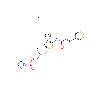 N#Cc1c(NC(=O)C=Cc2ccsc2)sc2c1CCC(COC(=O)N1CCC1)C2